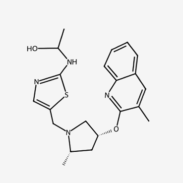 Cc1cc2ccccc2nc1O[C@@H]1C[C@H](C)N(Cc2cnc(NC(C)O)s2)C1